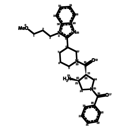 COCCCn1c(C2CCCN(C(=O)[C@@H]3CN(C(=O)c4ccccc4)C[C@H]3N)C2)nc2ccccc21